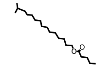 CCCCC(=O)OCCCCCCCCCCCCCC(C)C